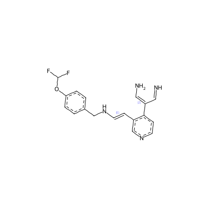 N=C/C(=C\N)c1ccncc1/C=C/NCc1ccc(OC(F)F)cc1